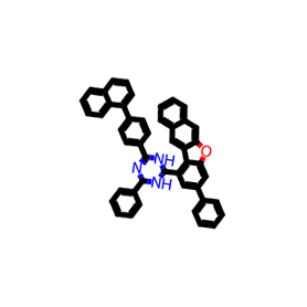 c1ccc(-c2cc(C3NC(c4ccc(-c5cccc6ccccc56)cc4)=NC(c4ccccc4)N3)c3c(c2)oc2cc4ccccc4cc23)cc1